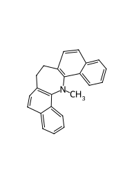 CN1c2c(ccc3ccccc23)CCc2ccc3ccccc3c21